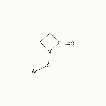 CC(=O)SN1CCC1=O